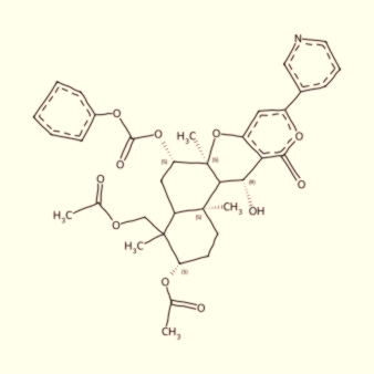 CC(=O)OCC1(C)C2C[C@H](OC(=O)Oc3ccccc3)[C@@]3(C)Oc4cc(-c5cccnc5)oc(=O)c4[C@H](O)C3[C@@]2(C)CC[C@@H]1OC(C)=O